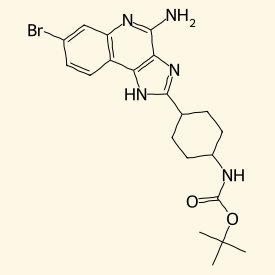 CC(C)(C)OC(=O)NC1CCC(c2nc3c(N)nc4cc(Br)ccc4c3[nH]2)CC1